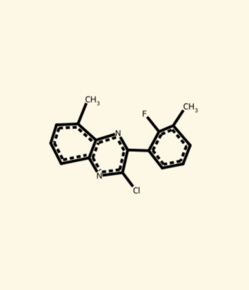 Cc1cccc(-c2nc3c(C)cccc3nc2Cl)c1F